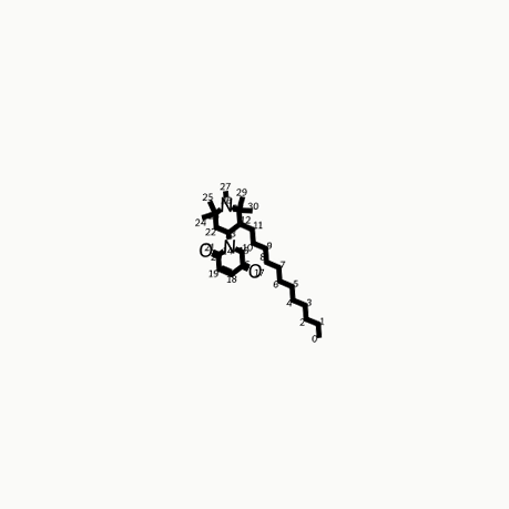 CCCCCCCCCCCCC1C(N2CC(=O)C=CC2=O)CC(C)(C)N(C)C1(C)C